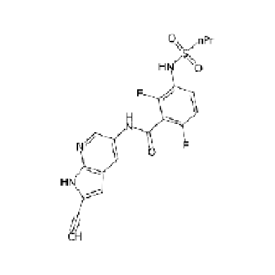 C#Cc1cc2cc(NC(=O)c3c(F)ccc(NS(=O)(=O)CCC)c3F)cnc2[nH]1